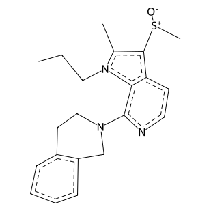 CCCn1c(C)c([S+](C)[O-])c2ccnc(N3CCc4ccccc4C3)c21